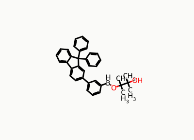 CC(C)(O)C(C)(C)OBc1cccc(-c2ccc3c(c2)C(c2ccccc2)(c2ccccc2)c2ccccc2-3)c1